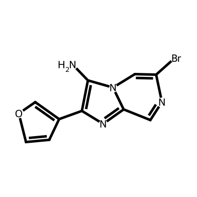 Nc1c(-c2ccoc2)nc2cnc(Br)cn12